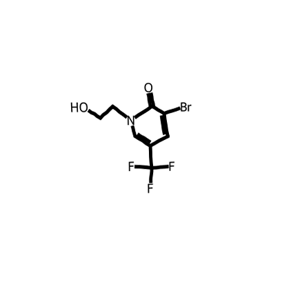 O=c1c(Br)cc(C(F)(F)F)cn1CCO